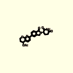 CC(=O)O[C@H]1CCOc2nc(-c3ccc4c(c3)CN([C@H]3CCC(=O)NC3=O)C4=O)ccc21